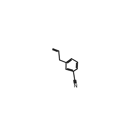 C=CCc1cccc(C#N)c1